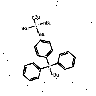 CCCC[N+](CCCC)(CCCC)CCCC.CCCC[PH](c1ccccc1)(c1ccccc1)c1ccccc1